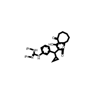 CC(C)N=C(Nc1cccc(C(c2c(O)c3c(oc2=O)CCCCCC3=O)C2CC2)c1)NC(C)C